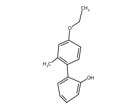 CCOc1ccc(-c2ccccc2O)c(C)c1